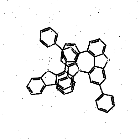 c1ccc(-c2cc(-n3c4ccccc4c4c5oc6ccccc6c5ccc43)c3c(c2)oc2cccc(-c4nc(-c5ccccc5)nc(-c5ccccc5)n4)c23)cc1